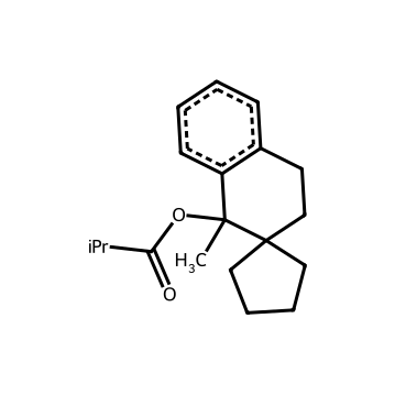 CC(C)C(=O)OC1(C)c2ccccc2CCC12CCCC2